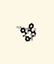 CN(C(=O)c1ccc(N)cc1)c1cccc(Nc2ncc(Cl)c(-c3c[nH]c4ccccc34)n2)c1